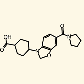 O=C(O)C1CCC(N2COc3cc(C(=O)N4CCCC4)ccc32)CC1